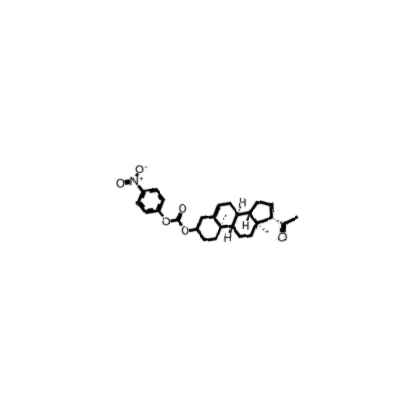 CC(=O)[C@H]1CC[C@H]2[C@@H]3CC=C4CC(OC(=O)Oc5ccc([N+](=O)[O-])cc5)CC[C@]4(C)[C@H]3CC[C@]12C